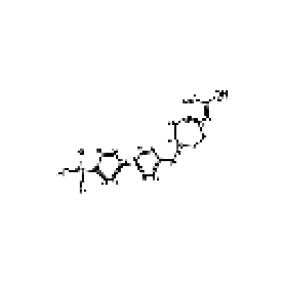 Oc1ccc2c(c1)CCN(Cc1ccc(-c3ccc(C(F)(F)F)cc3)cc1)CC2